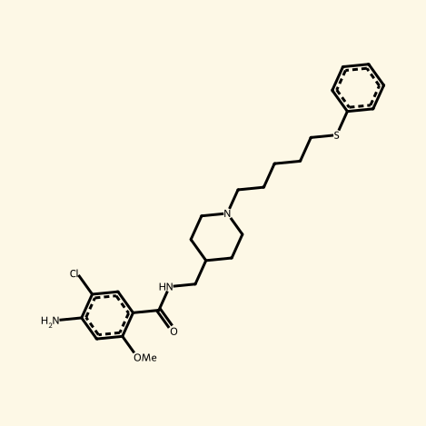 COc1cc(N)c(Cl)cc1C(=O)NCC1CCN(CCCCCSc2ccccc2)CC1